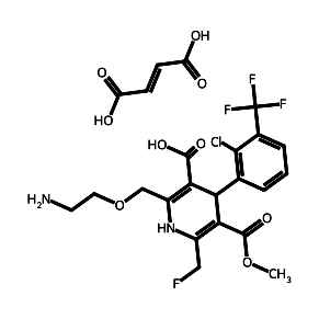 COC(=O)C1=C(CF)NC(COCCN)=C(C(=O)O)C1c1cccc(C(F)(F)F)c1Cl.O=C(O)C=CC(=O)O